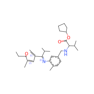 C/C=C(\C=C(\C)C(=O)CC)C(=N/c1cc(CNC(C(=O)OC2CCCC2)C(C)C)ccc1C)/C(C)C